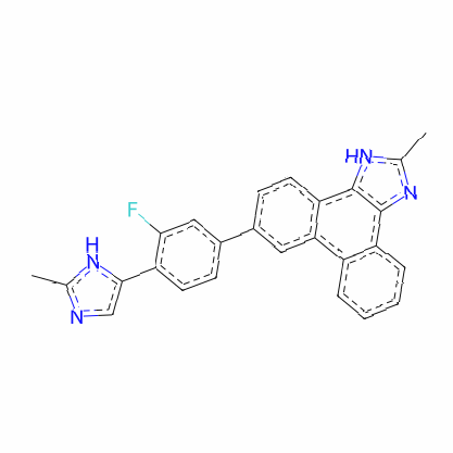 Cc1ncc(-c2ccc(-c3ccc4c(c3)c3ccccc3c3nc(C)[nH]c43)cc2F)[nH]1